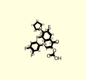 O=C(O)Oc1cn(-c2ccc(F)c(F)c2)c2c(F)c(N3CCCC3)c(F)cc2c1=O